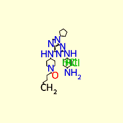 C=CCCC(=O)N1CCC(Nc2nc(N[C@H]3CC[C@H](N)CC3)nc3c2ncn3C2CCCC2)CC1.Cl.Cl